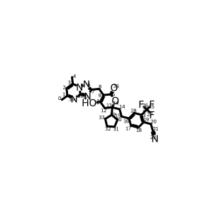 Cc1cc(C)n2nc(CC3=C(O)CC(CCc4ccc(CC#N)c(C(F)(F)F)c4)(C4CCCC4)OC3=O)nc2n1